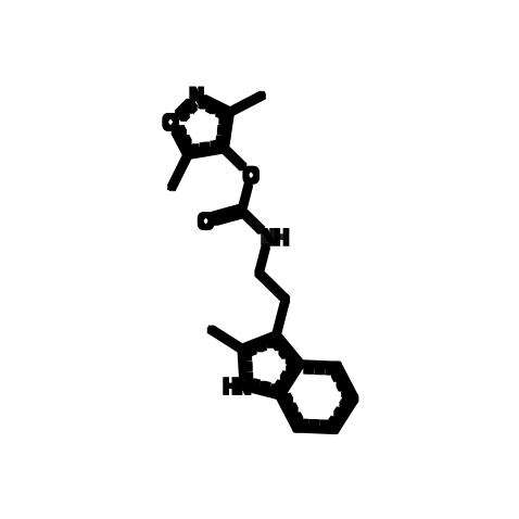 Cc1noc(C)c1OC(=O)NCCc1c(C)[nH]c2ccccc12